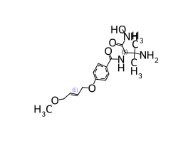 COC/C=C/COc1ccc(C(=O)N[C@H](C(=O)NO)C(C)(C)N)cc1